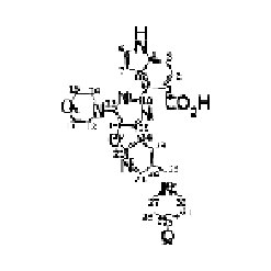 O=C(O)c1ccc2[nH]ccc2c1-c1nc(N2CCOCC2)c2oc3ncc(CN4CC[S+]([O-])CC4)cc3c2n1